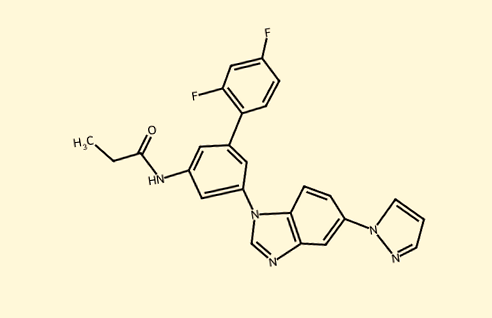 CCC(=O)Nc1cc(-c2ccc(F)cc2F)cc(-n2cnc3cc(-n4cccn4)ccc32)c1